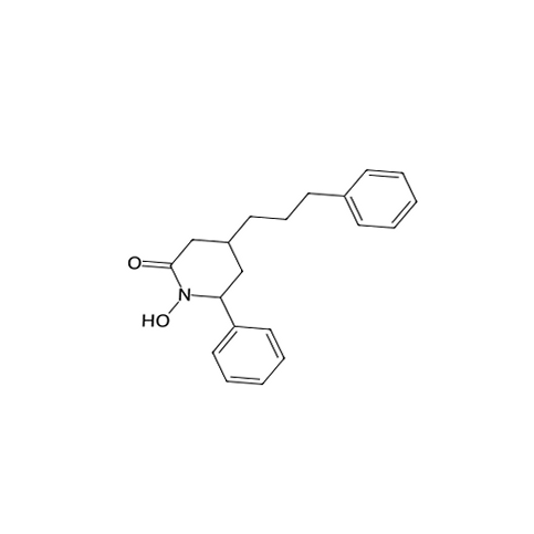 O=C1CC(CCCc2ccccc2)CC(c2ccccc2)N1O